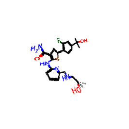 C[C@H](O)CNCc1cccc(NC2=C(C(N)=O)CC(c3ccc(C(C)(C)O)cc3F)S2)n1